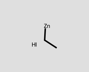 C[CH2][Zn].I